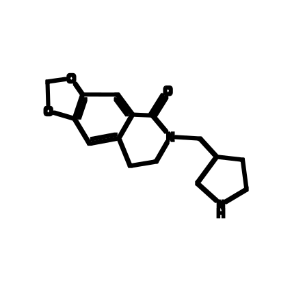 O=C1c2cc3c(cc2CCN1CC1CCNC1)OCO3